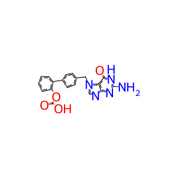 Nc1nc2ncn(Cc3ccc(-c4ccccc4OC(=O)O)cc3)c2c(=O)[nH]1